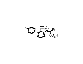 CCOC(=O)c1c(C=C(CC)C(=O)O)cccc1-c1ccc(C)cc1